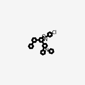 Clc1ccc(-c2nc3c(-c4ccc5c(c4)c4ccccc4n5-c4ccccc4)cc(-c4cccc(-c5ccccc5)c4)cc3o2)cc1